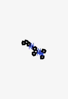 c1ccc(-c2nc3c(nc2-c2ccc(C4N=c5cc6ccc7ccccc7c6cc5=N4)cc2)c2ccccc2n3-c2ccccc2)cc1